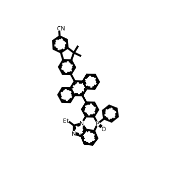 CCc1nc2cccc3c2n1-c1cc(-c2c4ccccc4c(-c4ccc5c(c4)C(C)(C)c4cc(C#N)ccc4-5)c4ccccc24)ccc1P3(=O)c1ccccc1